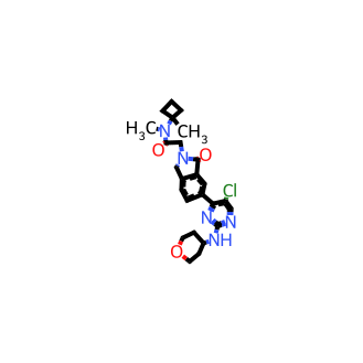 CN(C(=O)CN1Cc2ccc(-c3nc(NC4CCOCC4)ncc3Cl)cc2C1=O)C1(C)CCC1